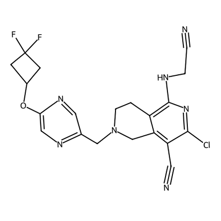 N#CCNc1nc(Cl)c(C#N)c2c1CCN(Cc1cnc(OC3CC(F)(F)C3)cn1)C2